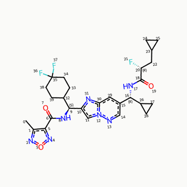 Cc1nonc1C(=O)N[C@H](c1cn2ncc([C@H](NC(=O)[C@H](F)CC3CC3)C3CC3)cc2n1)C1CCC(F)(F)CC1